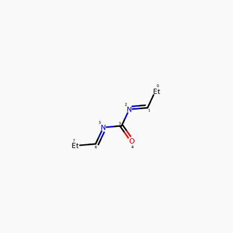 CCC=NC(=O)N=CCC